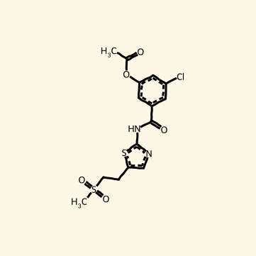 CC(=O)Oc1cc(Cl)cc(C(=O)Nc2ncc(CCS(C)(=O)=O)s2)c1